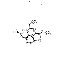 CC(C)(C)c1ccc(OP(O)O)c(CC(Cl)CC(Cl)(Cl)Cl)c1CC(Cl)CC(Cl)(Cl)Cl